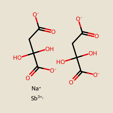 O=C([O-])CC(O)(O)C(=O)[O-].O=C([O-])CC(O)(O)C(=O)[O-].[Na+].[Sb+3]